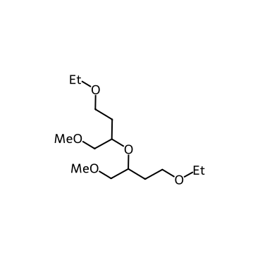 CCOCCC(COC)OC(CCOCC)COC